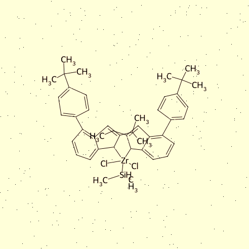 CCC1=Cc2c(-c3ccc(C(C)(C)C)cc3)cccc2[CH]1[Zr]([Cl])([Cl])([CH]1C(C(C)C)=Cc2c(-c3ccc(C(C)(C)C)cc3)cccc21)[SiH](C)C